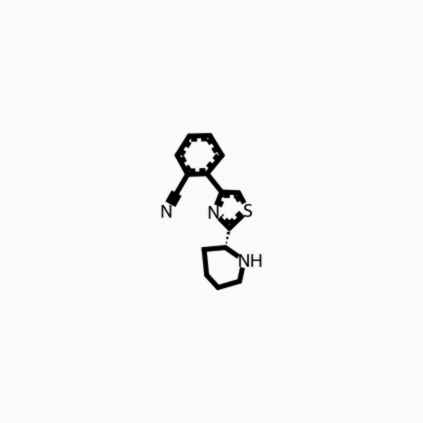 N#Cc1ccccc1-c1csc([C@H]2CCCCN2)n1